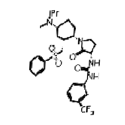 CC(C)N(C)[C@@H]1CC[C@H](N2CC[C@H](NC(=O)Nc3cccc(C(F)(F)F)c3)C2=O)[C@H](CS(=O)(=O)c2ccccc2)C1